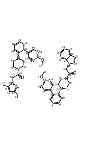 COc1ncc(-c2ccccc2N2CCN(C(=O)Cn3ccc4ccccc43)CC2)cn1.COc1ncc(-c2ccccc2N2CCN(C(=O)Cn3nc(C)cc3C)CC2)cn1